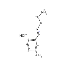 Cc1cccc(/C=C/CON)c1.Cl